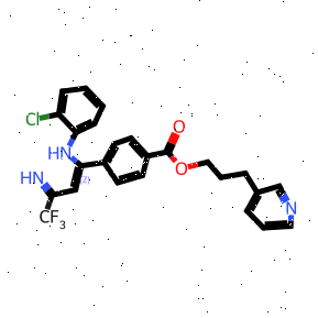 N=C(/C=C(\Nc1ccccc1Cl)c1ccc(C(=O)OCCCc2cccnc2)cc1)C(F)(F)F